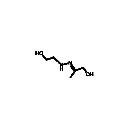 C/C(CO)=N\NCCO